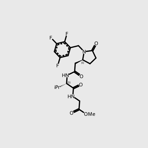 COC(=O)CNC(=O)[C@@H](NC(=O)C[C@@H]1CCC(=O)N1Cc1cc(F)cc(F)c1F)C(C)C